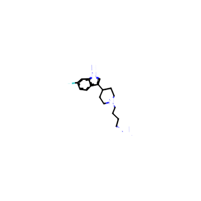 NCCCCN1CCC(c2c[nH]c3cc(F)ccc23)CC1